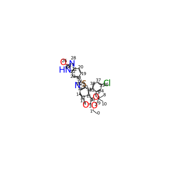 CCOC(=O)[C@@H](OC(C)(C)C)c1c(C)cc2nc(-c3ccc4c(c3)[nH]c(=O)n4C)sc2c1-c1ccc(Cl)cc1